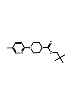 Cc1ccc(N2CCN(C(=O)OCC(C)(C)C)CC2)nc1